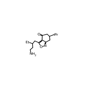 CCC(CCN)Cc1onc2c1C(=O)CC(C(C)C)C2